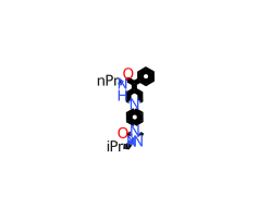 CCCNC(=O)C(c1ccccc1)C1CCN(c2ccc(-n3cnn(CC(C)C)c3=O)cc2)CC1